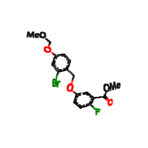 COCOc1ccc(COc2ccc(F)c(C(=O)OC)c2)c(Br)c1